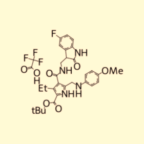 CCc1c(C(=O)OC(C)(C)C)[nH]c(CNc2ccc(OC)cc2)c1C(=O)NCC1C(=O)Nc2ccc(F)cc21.O=C(O)C(F)(F)F